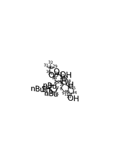 CCC[CH2][Sn]([CH2]CCC)([CH2]CCC)[c]1ccc([C@H]2C[C@]3(C)[C@@H](O)CC[C@H]3[C@@H]3CC[C@@]4(O)CC5(CCC4=C32)OCC(C)(C)CO5)cc1